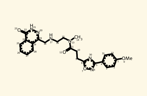 COc1ccc(-c2noc(CCC(=O)N(C)CCNCc3n[nH]c(=O)c4ccccc34)n2)cc1